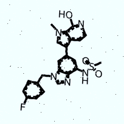 Cn1cc(-c2cc(NS(C)(=O)=O)c3ncn(Cc4ccc(F)cc4)c3c2)c2ccnc(O)c21